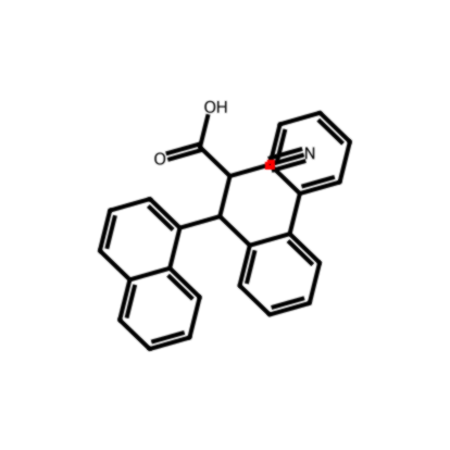 N#CC(C(=O)O)C(c1ccccc1-c1ccccc1)c1cccc2ccccc12